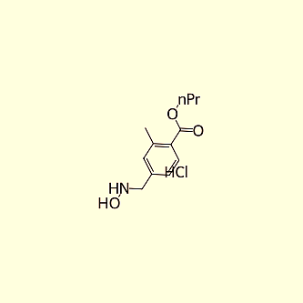 CCCOC(=O)c1ccc(CNO)cc1C.Cl